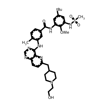 COc1c(NC(=O)c2ccc(C)c(Nc3ncnc4ccc(CC5CCN(CCO)CC5)nc34)c2)cc(C(C)(C)C)cc1NS(C)(=O)=O